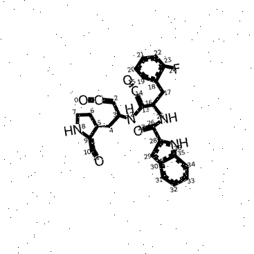 O=C=CC(C[C@@H]1CCNC1=C=O)NC(=C=O)C(Cc1ccccc1F)NC(=O)c1cc2ccccc2[nH]1